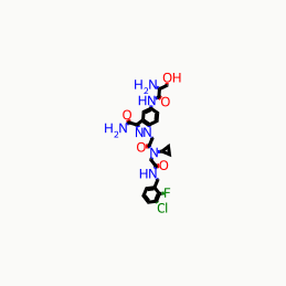 NC(=O)c1nn(CC(=O)N(CC(=O)NCc2cccc(Cl)c2F)C2CC2)c2ccc(NC(=O)C(N)CO)cc12